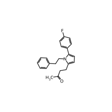 CC(=O)CCc1ccc(-c2ccc(F)cc2)n1CCc1ccccc1